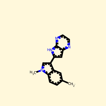 [CH2]c1ccc2c(c1)c(-c1cc3nccnc3[nH]1)cn2C